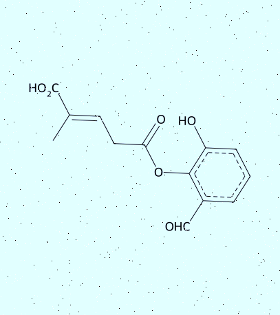 CC(=CCC(=O)Oc1c(O)cccc1C=O)C(=O)O